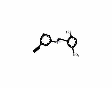 C#Cc1cccc(/N=C/c2cc([N+](=O)[O-])ccc2O)c1